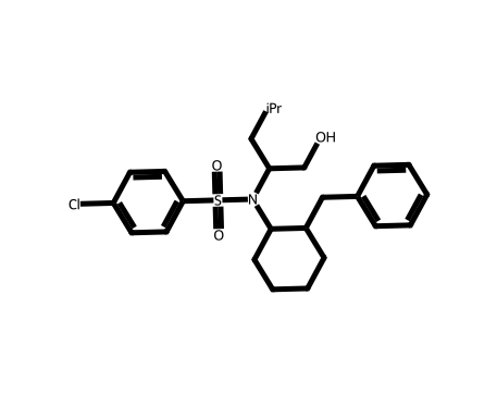 CC(C)CC(CO)N(C1CCCCC1Cc1ccccc1)S(=O)(=O)c1ccc(Cl)cc1